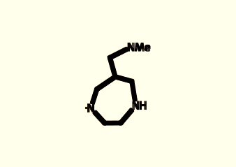 CNCC1C[N]CCNC1